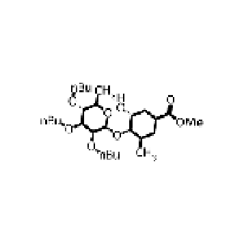 CCCCOC1[C@H](OCCCC)C(C)O[C@@H](O[C@@H]2C(C)CC(C(=O)OC)C[C@H]2O)[C@H]1OCCCC